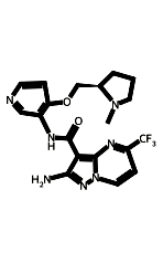 CN1CCC[C@@H]1COc1ccncc1NC(=O)c1c(N)nn2ccc(C(F)(F)F)nc12